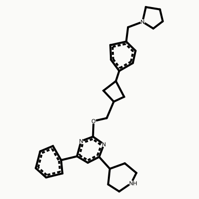 c1ccc(-c2cc(C3CCNCC3)nc(OCC3CC(c4ccc(CN5CCCC5)cc4)C3)n2)cc1